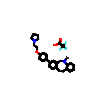 CC(=O)N1Cc2cc(-c3ccc(OCCN4CCCC4)cc3)ccc2CCc2ccccc21.O=C(O)C(F)(F)F